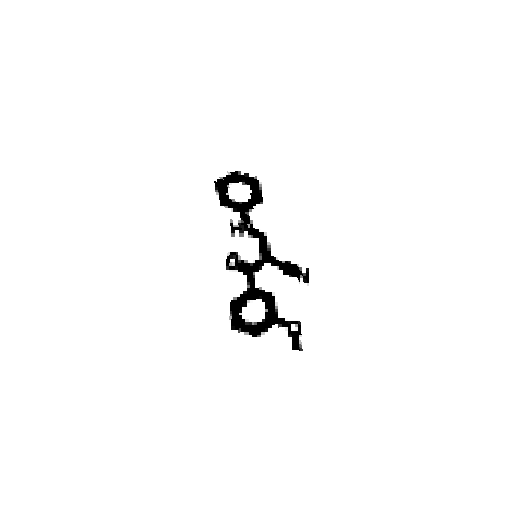 COc1cccc(C(=O)/C(C#N)=C\Nc2ccccc2)c1